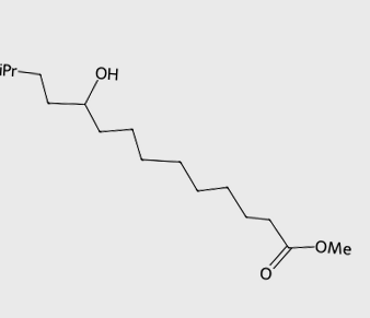 COC(=O)CCCCCCCCC(O)CCC(C)C